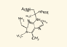 C/C=N\C1=C(C)N(C)C(CN)N=C1NC(C)(CCCCC)CNC(C)=O